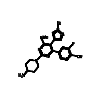 CCn1cc(-c2c(NC)nc(N3CCC(N)CC3)nc2-c2ccc(C#N)c(F)c2)cn1